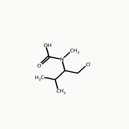 CC(C)C(CCl)N(C)C(=O)O